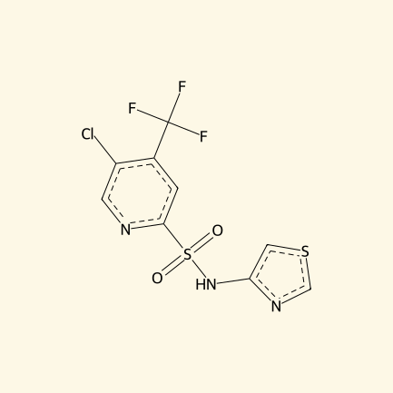 O=S(=O)(Nc1cscn1)c1cc(C(F)(F)F)c(Cl)cn1